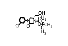 CC(C)(C)OC(=O)N1CC(=O)N(c2cccc(Cl)c2)C[C@@H]1CCO